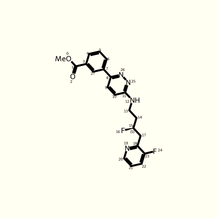 COC(=O)c1cccc(-c2ccc(NCC[C@H](F)Cc3ncccc3F)nn2)c1